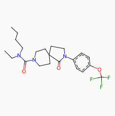 CCCCN(CC)C(=O)N1CCC2(CC1)CCN(c1ccc(OC(F)(F)F)cc1)C2=O